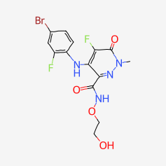 Cn1nc(C(=O)NOCCO)c(Nc2ccc(Br)cc2F)c(F)c1=O